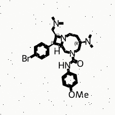 COc1ccc(NC(=O)N2C[C@H](N(C)C)CCN3[C@H](CN(C)C)[C@H](c4ccc(Br)cc4)[C@@H]3C2)cc1